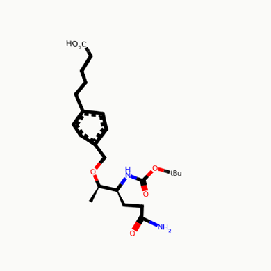 C[C@@H](OCc1ccc(CCCCC(=O)O)cc1)[C@H](CCC(N)=O)NC(=O)OC(C)(C)C